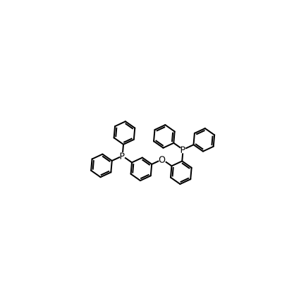 c1ccc(P(c2ccccc2)c2cccc(Oc3ccccc3P(c3ccccc3)c3ccccc3)c2)cc1